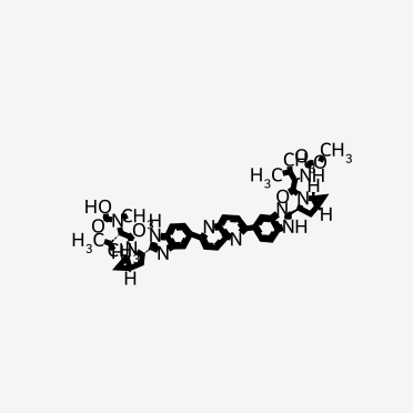 COC(=O)N[C@H](C(=O)N1[C@@H]2C[C@@H]2C[C@H]1c1nc2cc(-c3ccc4nc(-c5ccc6[nH]c([C@@H]7C[C@H]8C[C@H]8N7C(=O)[C@H](C(C)C)N(C)C(=O)O)nc6c5)ccc4n3)ccc2[nH]1)C(C)C